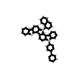 c1ccc(-c2ccc(-n3c4ccccc4c4c3ccc3c5c6oc7ccccc7c6ccc5n(-c5cccc6ccccc56)c34)cc2)cc1